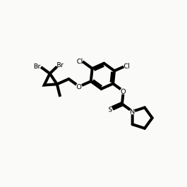 CC1(COc2cc(OC(=S)N3CCCC3)c(Cl)cc2Cl)CC1(Br)Br